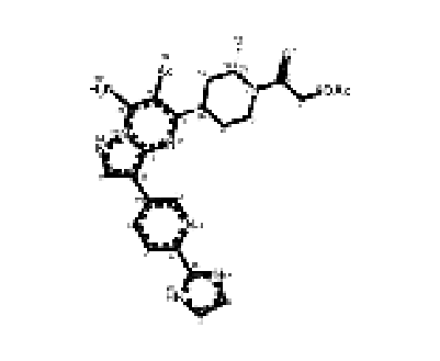 CC(=O)OCC(=O)N1CC[C@@H](c2nc3c(-c4ccc(-c5ncc[nH]5)nc4)cnn3c(N)c2C(C)=O)C[C@@H]1C